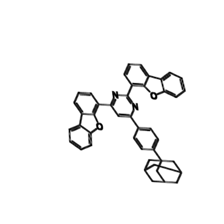 c1ccc2c(c1)oc1c(-c3cc(-c4ccc(C56CC7CC(CC(C7)C5)C6)cc4)nc(-c4cccc5c4oc4ccccc45)n3)cccc12